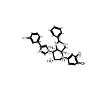 O[C@H]1C[SH](c2ccc(Cl)c(Cl)c2)[C@@H]2COC(c3ccccc3)O[C@@H]2[C@@H]1n1cnc(-c2cccc(F)c2)c1